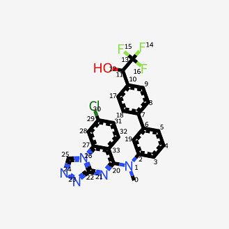 CN(c1cccc(-c2ccc(C(O)C(F)(F)F)cc2)c1)c1nc2nncn2c2cc(Cl)ccc12